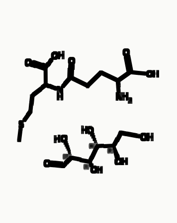 CSCCC(NC(=O)CCC(N)C(=O)O)C(=O)O.O=C[C@H](O)[C@@H](O)[C@H](O)[C@H](O)CO